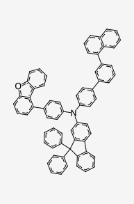 c1ccc(C2(c3ccccc3)c3ccccc3-c3ccc(N(c4ccc(-c5cccc(-c6cccc7ccccc67)c5)cc4)c4ccc(-c5cccc6oc7ccccc7c56)cc4)cc32)cc1